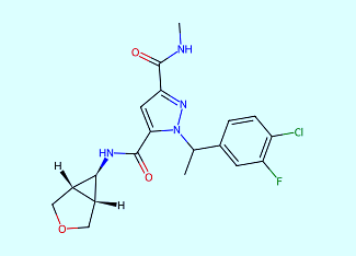 CNC(=O)c1cc(C(=O)N[C@H]2[C@@H]3COC[C@@H]32)n(C(C)c2ccc(Cl)c(F)c2)n1